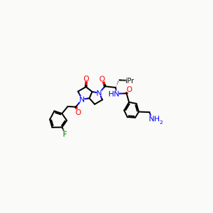 CC(C)C[C@H](NC(=O)c1cccc(CN)c1)C(=O)N1CCC2C1C(=O)CN2C(=O)Cc1cccc(F)c1